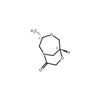 C[C@H]1CN2C[C@H](CO1)OCC2=O